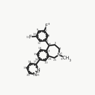 CN1CCC(c2cc(F)cc(F)c2)c2ccc(-c3cccnn3)cc2C1